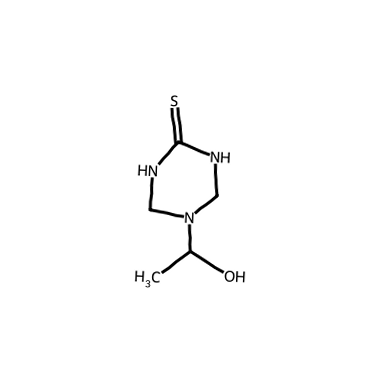 CC(O)N1CNC(=S)NC1